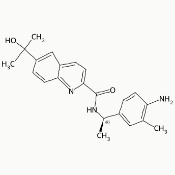 Cc1cc([C@@H](C)NC(=O)c2ccc3cc(C(C)(C)O)ccc3n2)ccc1N